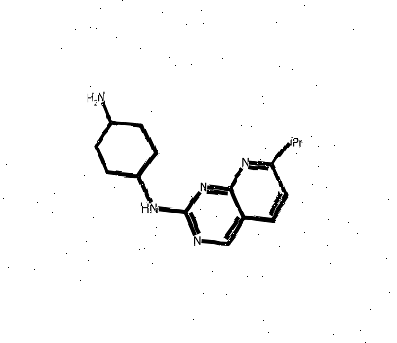 CC(C)c1ccc2cnc(NC3CCC(N)CC3)nc2n1